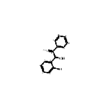 CCc1ccccc1C(O)C(=O)c1ccccc1